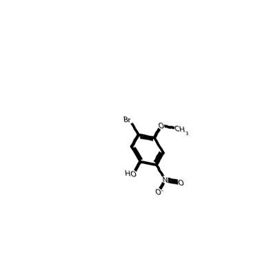 COc1cc([N+](=O)[O-])c(O)cc1Br